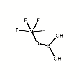 OB(O)[O][Ni]([F])([F])([F])[F]